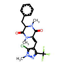 CN1C(=O)C(Cc2ccccc2)N(C)C(=O)/C1=C/c1c(C(F)(F)F)nn(C)c1Cl